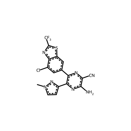 Cn1ccc(-c2nc(N)c(C#N)nc2-c2cc(Cl)c3nc(C(F)(F)F)sc3c2)n1